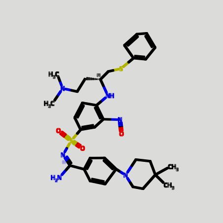 CN(C)CC[C@H](CSc1ccccc1)Nc1ccc(S(=O)(=O)/N=C(/N)c2ccc(N3CCC(C)(C)CC3)cc2)cc1N=O